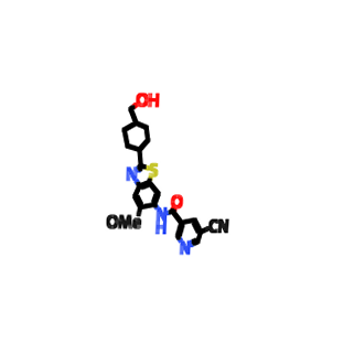 COc1cc2nc(C3CCC(CO)CC3)sc2cc1NC(=O)c1cncc(C#N)c1